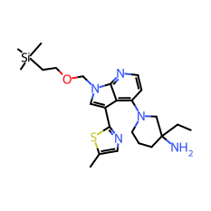 CCC1(N)CCCN(c2ccnc3c2c(-c2ncc(C)s2)cn3COCC[Si](C)(C)C)C1